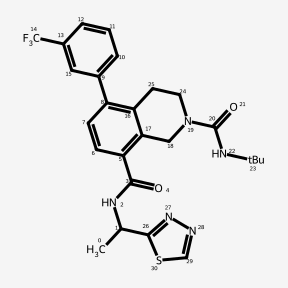 CC(NC(=O)c1ccc(-c2cccc(C(F)(F)F)c2)c2c1CN(C(=O)NC(C)(C)C)CC2)c1nncs1